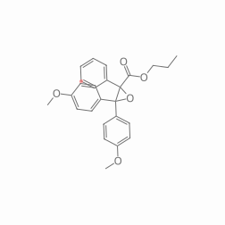 CCCOC(=O)C1(c2ccccc2)OC1(c1ccc(OC)cc1)c1ccc(OC)cc1